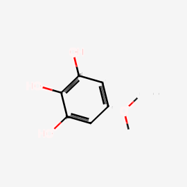 CCOC=O.Oc1cccc(O)c1O